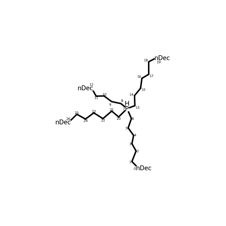 CCCCCCCCCCCCCCCC[PH](CCCCCCCCCCCCCC)(CCCCCCCCCCCCCCCC)CCCCCCCCCCCCCCCC